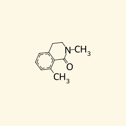 Cc1cccc2c1C(=O)N(C)CC2